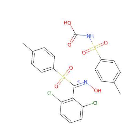 Cc1ccc(S(=O)(=O)/C(=N/O)c2c(Cl)cccc2Cl)cc1.Cc1ccc(S(=O)(=O)NC(=O)O)cc1